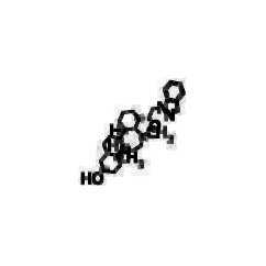 C[C@H]1CC[C@H]2[C@@H](CCC3C[C@H](O)CC[C@@]32C)[C@@H]2CCC[C@H](C(=O)Cn3ncc4ccccc43)C21